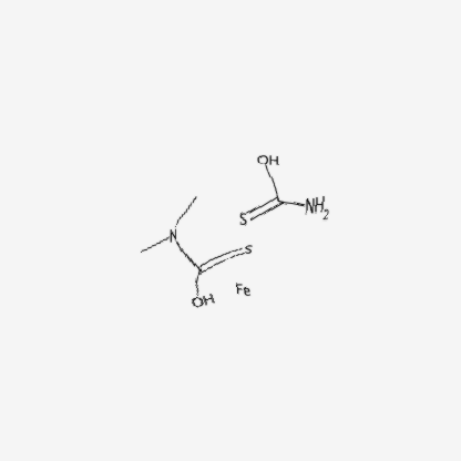 CN(C)C(O)=S.NC(O)=S.[Fe]